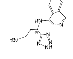 CC(C)(C)CC[C@@H](Nc1cncc2ccccc12)c1nn[nH]n1